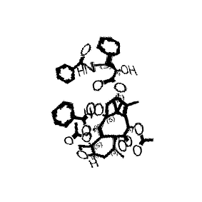 CO[C@]12C(=O)[C@H](OC(C)=O)C3=C(C)[C@@H](OC(=O)[C@H](O)[C@@H](NC(=O)c4ccccc4)c4ccccc4)C[C@@](O)([C@@H](OC(=O)c4ccccc4)C1[C@]1(OC(C)=O)CO[C@@H]1C[C@@H]2C)C3(C)C